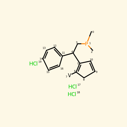 CP(C)CC(C1=[C]([V])CC=C1)c1ccccc1.Cl.Cl.Cl